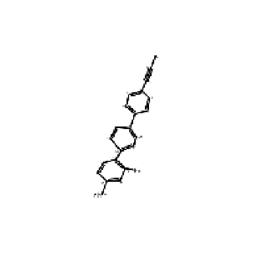 CC#Cc1ccc(-c2ccc(-c3ccc(CCC)cc3F)cc2)cc1